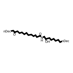 CCCCCCCCCCCCCCCC[C@@H](O)CNC(=O)CCCCCCCCCCC(=O)CCCCCCCCCCC